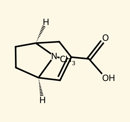 CN1[C@H]2CC[C@@H]1C=C(C(=O)O)C2